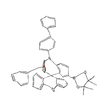 CC1(C)OB(c2ccc3c(c2)C2(c4ccccc4Oc4ccccc42)c2cc(-c4ccccc4)ccc2N3c2ccc(-c3ccccc3)cc2)OC1(C)C